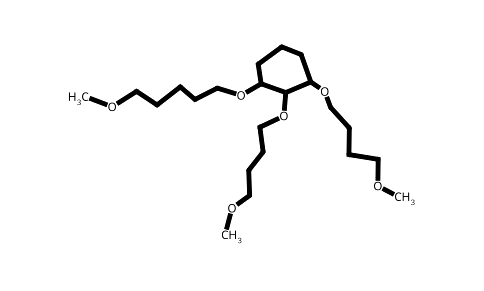 COCCCCCOC1CCCC(OCCCCOC)C1OCCCCOC